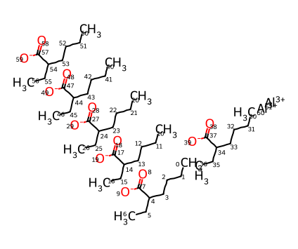 CCCCC(CC)C(=O)[O-].CCCCC(CC)C(=O)[O-].CCCCC(CC)C(=O)[O-].CCCCC(CC)C(=O)[O-].CCCCC(CC)C(=O)[O-].CCCCC(CC)C(=O)[O-].[Al+3].[Al+3]